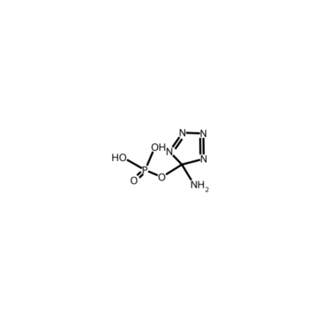 NC1(OP(=O)(O)O)N=NN=N1